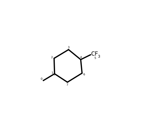 C[C]1CCC(C(F)(F)F)CC1